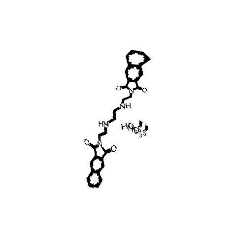 CS(=O)(=O)O.CS(=O)(=O)O.O=C1c2cc3ccccc3cc2C(=O)N1CCNCCNCCN1C(=O)c2cc3ccccc3cc2C1=O